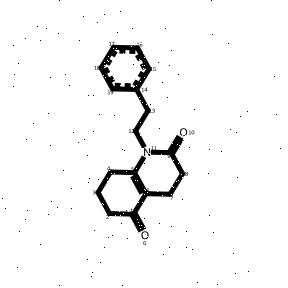 O=C1CCCC2=C1CCC(=O)N2CCc1ccccc1